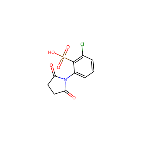 O=C1CCC(=O)N1c1cccc(Cl)c1S(=O)(=O)O